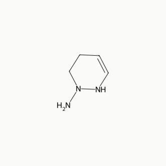 NN1CCC=CN1